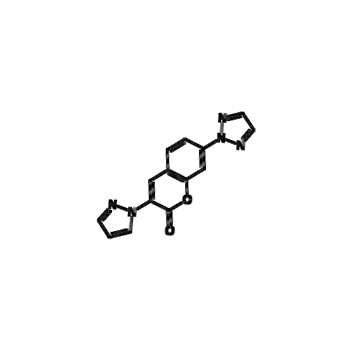 O=c1oc2cc(-n3nccn3)ccc2cc1-n1cccn1